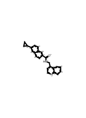 O=C(NCc1ccnc2ccccc12)c1ccc2cc(C3CC3)ccc2c1